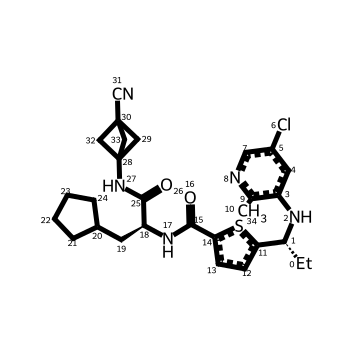 CC[C@@H](Nc1cc(Cl)cnc1C)c1ccc(C(=O)N[C@@H](CC2CCCC2)C(=O)NC23CC(C#N)(C2)C3)s1